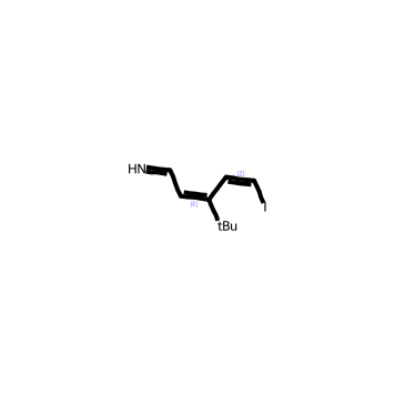 CC(C)(C)C(/C=C\I)=C/C=N